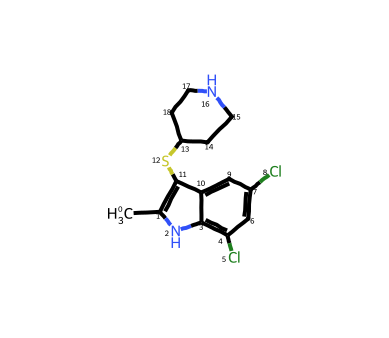 Cc1[nH]c2c(Cl)cc(Cl)cc2c1SC1CCNCC1